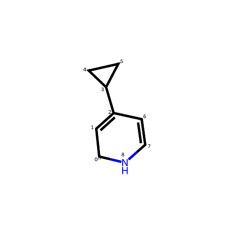 [C]1C=C(C2CC2)C=CN1